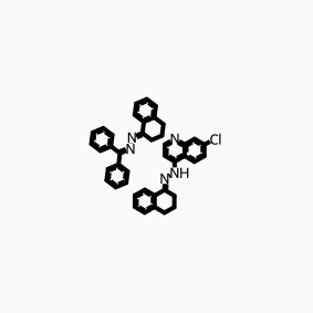 Clc1ccc2c(NN=C3CCCc4ccccc43)ccnc2c1.c1ccc(C(=NN=C2CCCc3ccccc32)c2ccccc2)cc1